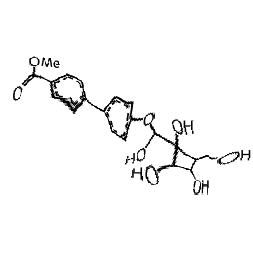 COC(=O)c1ccc(-c2ccc(OC(O)C3(O)C(O)C(O)C3CO)cc2)cc1